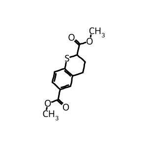 COC(=O)c1ccc2c(c1)CCC(C(=O)OC)S2